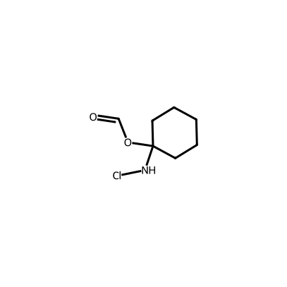 O=COC1(NCl)CCCCC1